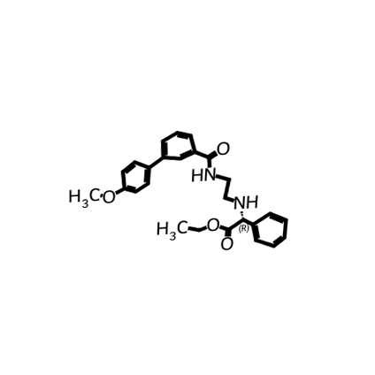 CCOC(=O)[C@H](NCCNC(=O)c1cccc(-c2ccc(OC)cc2)c1)c1ccccc1